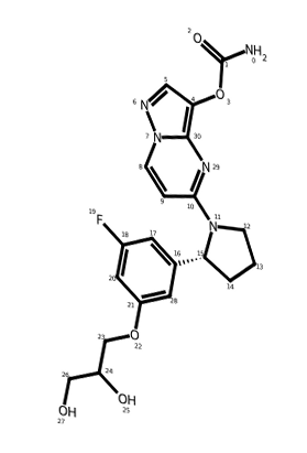 NC(=O)Oc1cnn2ccc(N3CCC[C@@H]3c3cc(F)cc(OCC(O)CO)c3)nc12